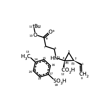 C=C[C@@H]1C[C@]1(NCCC(=O)OC(C)(C)C)C(=O)O.Cc1ccc(S(=O)(=O)O)cc1